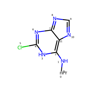 CCCNc1[nH]c(Cl)nc2ncnc1-2